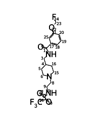 O=C(NCC1CCN(CCNS(=O)(=O)C(F)(F)F)CC1)c1cccc(OCF)c1